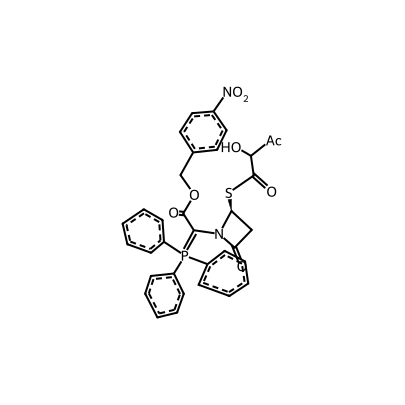 CC(=O)C(O)C(=O)S[C@H]1CC(=O)N1C(C(=O)OCc1ccc([N+](=O)[O-])cc1)=P(c1ccccc1)(c1ccccc1)c1ccccc1